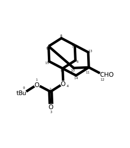 CC(C)(C)OC(=O)OC12CC3CC(CC(C=O)(C3)C1)C2